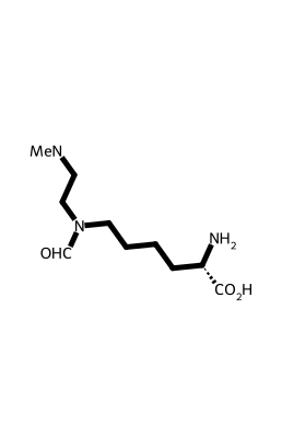 CNCCN(C=O)CCCC[C@H](N)C(=O)O